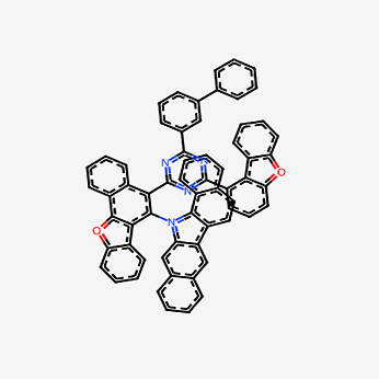 c1ccc(-c2cccc(-c3nc(-c4c(-n5c6cc7ccccc7cc6c6ccc7ccccc7c65)c5c6ccccc6oc5c5ccccc45)nc(-c4cccc5oc6ccccc6c45)n3)c2)cc1